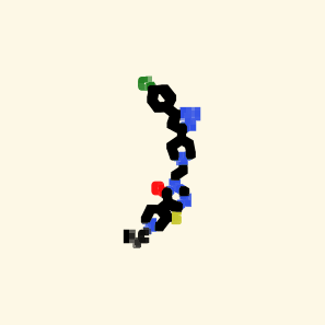 CN1CCc2c(sc3ncn(CCN4CCC(c5cc(-c6ccc(Cl)cc6)[nH]n5)CC4)c(=O)c23)C1